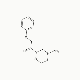 NN1CCOC(C(=O)COc2ccccc2)C1